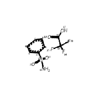 NS(=O)(=O)c1ccccc1.O=C(O)C(F)(F)F